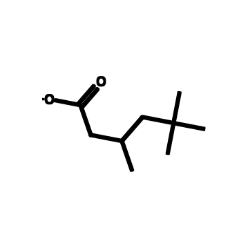 CC(CC([O])=O)CC(C)(C)C